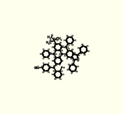 CC(C)(C)c1ccc(N(c2ccc3c(c2)N(c2ccccc2)c2cc([Si](C)(C)C)cc4c2B3c2cc3c(-c5ccccc5)oc(-c5ccccc5)c3cc2N4c2ccccc2)c2ccccc2F)cc1